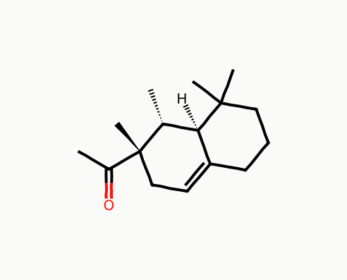 CC(=O)[C@@]1(C)CC=C2CCCC(C)(C)[C@@H]2[C@H]1C